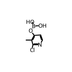 Cc1c(OB(O)O)ccnc1Cl